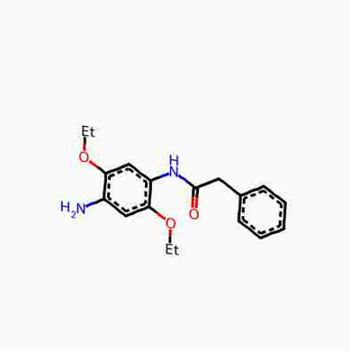 CCOc1cc(NC(=O)Cc2ccccc2)c(OCC)cc1N